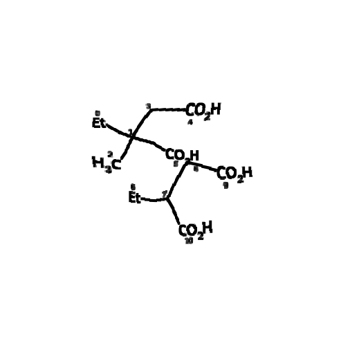 CCC(C)(CC(=O)O)C(=O)O.CCC(CC(=O)O)C(=O)O